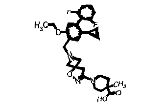 CCOc1cc(-c2c(F)cccc2F)c(C2CC2)cc1CN1CC2(CC(N3CCC(C)(C(=O)O)CC3)=NO2)C1